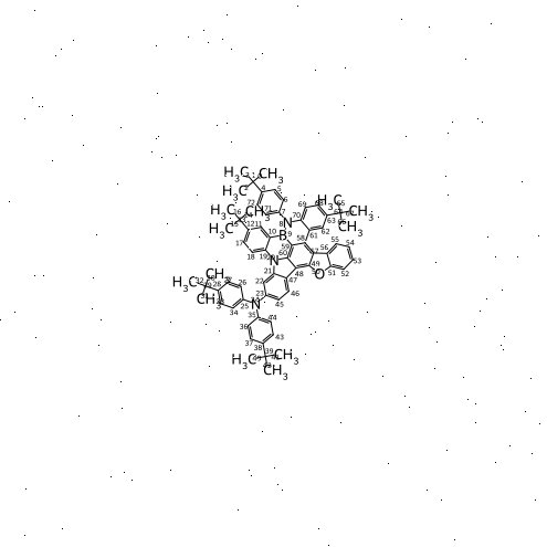 CC(C)(C)c1ccc(N2B3c4cc(C(C)(C)C)ccc4-n4c5cc(N(c6ccc(C(C)(C)C)cc6)c6ccc(C(C)(C)C)cc6)ccc5c5c6oc7ccccc7c6c(c3c54)-c3cc(C(C)(C)C)ccc32)cc1